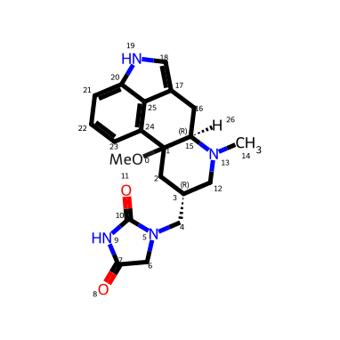 COC12C[C@@H](CN3CC(=O)NC3=O)CN(C)[C@@H]1Cc1c[nH]c3cccc2c13